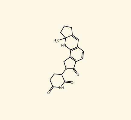 CC12CCCC1=Cc1ccc3c(c1N2)CN(C1CCC(=O)NC1=O)C3=O